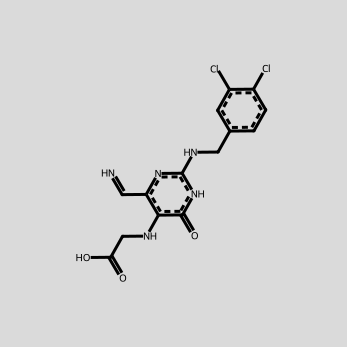 N=Cc1nc(NCc2ccc(Cl)c(Cl)c2)[nH]c(=O)c1NCC(=O)O